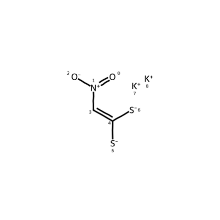 O=[N+]([O-])C=C([S-])[S-].[K+].[K+]